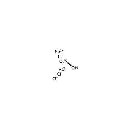 Cl.O=[N+]([O-])O.[Cl-].[Cl-].[Cl-].[Fe+3]